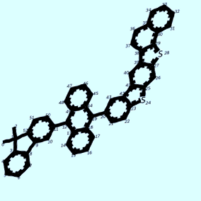 CC1(C)c2ccccc2-c2cc(-c3c4ccccc4c(-c4ccc5sc6cc7sc8c9ccccc9ccc8c7cc6c5c4)c4ccccc34)ccc21